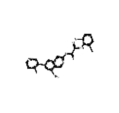 Cc1ccncc1-c1cc(N)c2cnc(NC(=O)C(=O)Nc3c(C)cccc3C(C)C)cc2c1